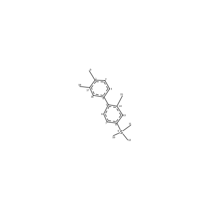 Cc1ccc(-c2ccc(S(C)(C)C)cc2C)cc1C